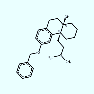 CN(C)CC[C@]12CCCC[C@@]1(O)CCc1ccc(OCc3ccccc3)cc12